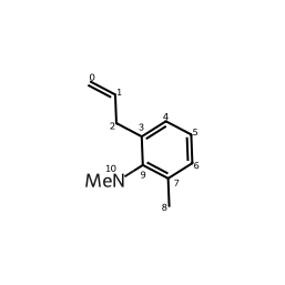 C=CCc1cccc(C)c1NC